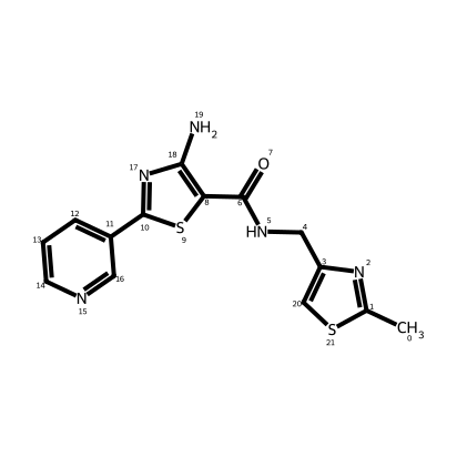 Cc1nc(CNC(=O)c2sc(-c3cccnc3)nc2N)cs1